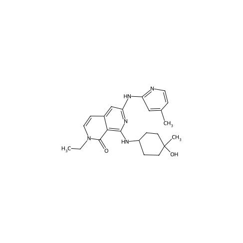 CCn1ccc2cc(Nc3cc(C)ccn3)nc(NC3CCC(C)(O)CC3)c2c1=O